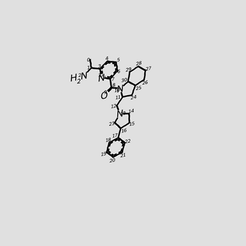 CC(N)c1cccc(C(=O)N2C(CN3CCC(c4ccccc4)C3)CC3CCCCC32)n1